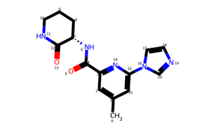 Cc1cc(C(=O)N[C@H]2CCCNC2=O)nc(-n2ccnc2)c1